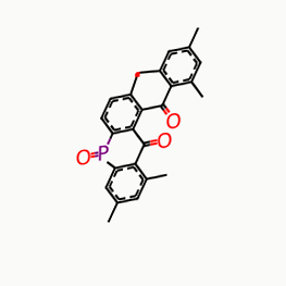 Cc1cc(C)c(C(=O)c2c(C)ccc(P=O)c2C(=O)c2c(C)cc(C)cc2C)c(C)c1